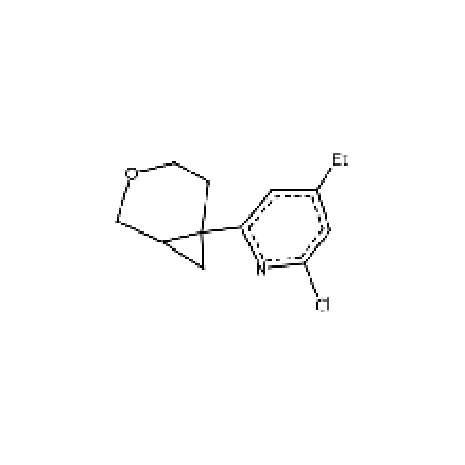 CCc1cc(Cl)nc(C23CCOCC2C3)c1